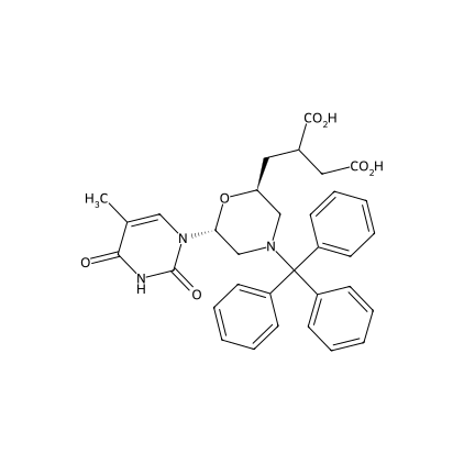 Cc1cn([C@H]2CN(C(c3ccccc3)(c3ccccc3)c3ccccc3)C[C@H](CC(CC(=O)O)C(=O)O)O2)c(=O)[nH]c1=O